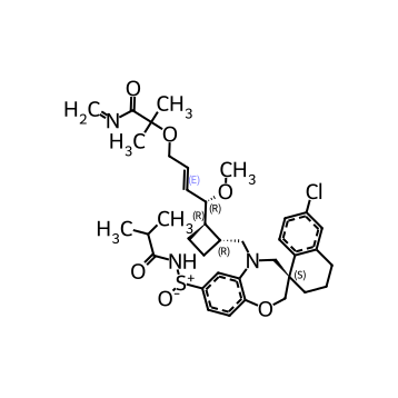 C=NC(=O)C(C)(C)OC/C=C/[C@H](OC)[C@@H]1CC[C@H]1CN1C[C@@]2(CCCc3cc(Cl)ccc32)COc2ccc([S+]([O-])NC(=O)C(C)C)cc21